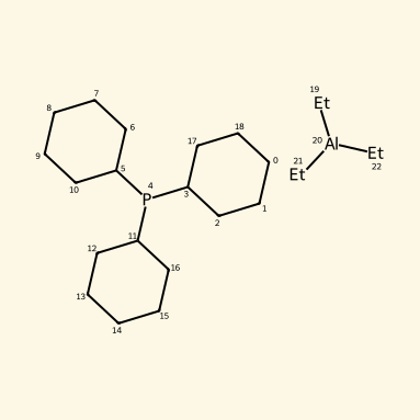 C1CCC(P(C2CCCCC2)C2CCCCC2)CC1.C[CH2][Al]([CH2]C)[CH2]C